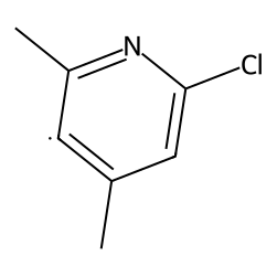 Cc1[c]c(C)nc(Cl)c1